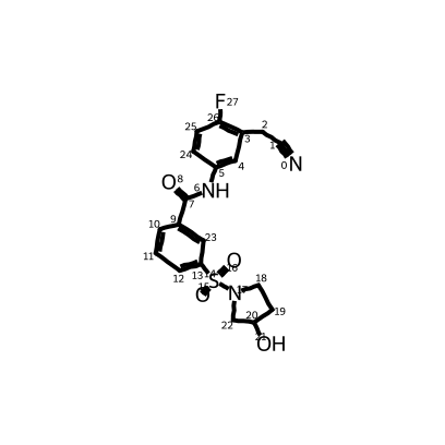 N#CCc1cc(NC(=O)c2cccc(S(=O)(=O)N3CCC(O)C3)c2)ccc1F